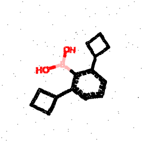 OB(O)c1c(C2CCC2)cccc1C1CCC1